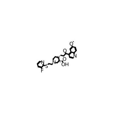 COc1ccc2nccc(C(=O)CC[C@H]3CCN(CCSc4ncccc4F)C[C@H]3C(=O)O)c2c1